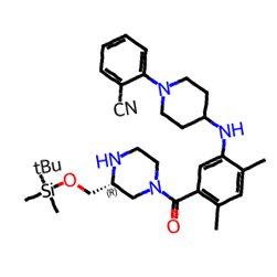 Cc1cc(C)c(C(=O)N2CCN[C@@H](CO[Si](C)(C)C(C)(C)C)C2)cc1NC1CCN(c2ccccc2C#N)CC1